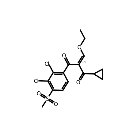 CCO/C=C(\C(=O)c1ccc(S(C)(=O)=O)c(Cl)c1Cl)C(=O)C1CC1